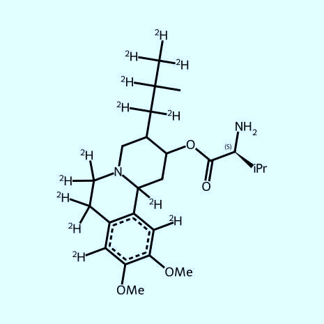 [2H]c1c(OC)c(OC)c([2H])c2c1C1([2H])CC(OC(=O)[C@@H](N)C(C)C)C(C([2H])([2H])C([2H])(C)C([2H])([2H])[2H])CN1C([2H])([2H])C2([2H])[2H]